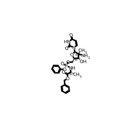 C[C@@H](NP(=O)(OC[C@H]1OC(n2ccc(=O)[nH]c2=O)[C@](C)(N)[C@@H]1O)Oc1ccccc1)C(=O)OCc1ccccc1